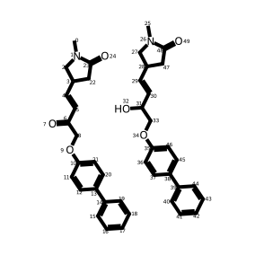 CN1CC(C=CC(=O)COc2ccc(-c3ccccc3)cc2)CC1=O.CN1CC(C=CC(O)COc2ccc(-c3ccccc3)cc2)CC1=O